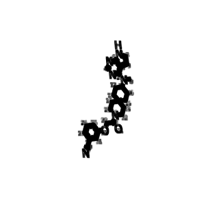 CN(c1ncnc2[nH]ccc12)C1CCC2(CC1)CCN(C(=O)COc1cccc(C#N)c1)CC2